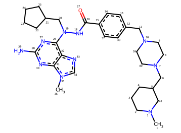 CN1CCCC(CN2CCN(Cc3ccc(C(=O)NN(CC4CCCC4)c4nc(N)nc5c4ncn5C)cc3)CC2)C1